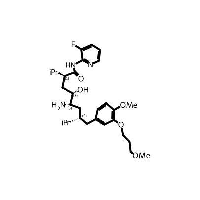 COCCCOc1cc(C[C@@H](C[C@H](N)[C@@H](O)C[C@H](C(=O)Nc2ncccc2F)C(C)C)C(C)C)ccc1OC